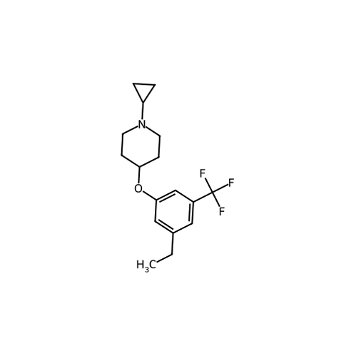 CCc1cc(OC2CCN(C3CC3)CC2)cc(C(F)(F)F)c1